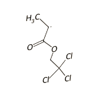 C[CH]C(=O)OCC(Cl)(Cl)Cl